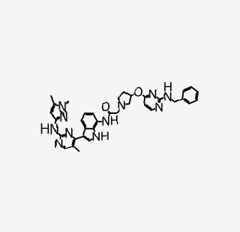 Cc1cnc(Nc2cc(C)n(C)n2)nc1-c1c[nH]c2c(NC(=O)CN3CCC(Oc4ccnc(NCc5ccccc5)n4)C3)cccc12